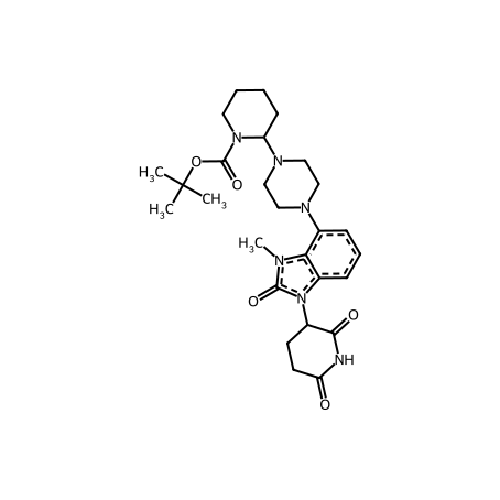 Cn1c(=O)n(C2CCC(=O)NC2=O)c2cccc(N3CCN(C4CCCCN4C(=O)OC(C)(C)C)CC3)c21